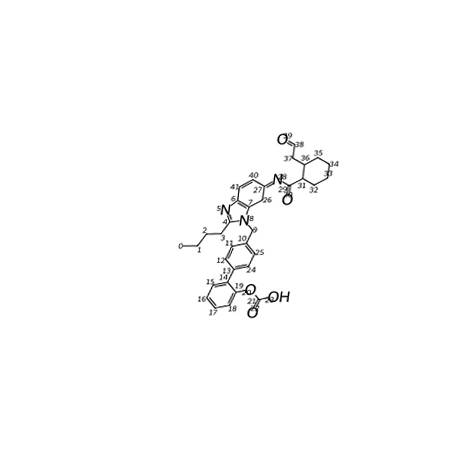 CCCCc1nc2c(n1Cc1ccc(-c3ccccc3OC(=O)O)cc1)CC(=NC(=O)C1CCCCC1CC=O)C=C2